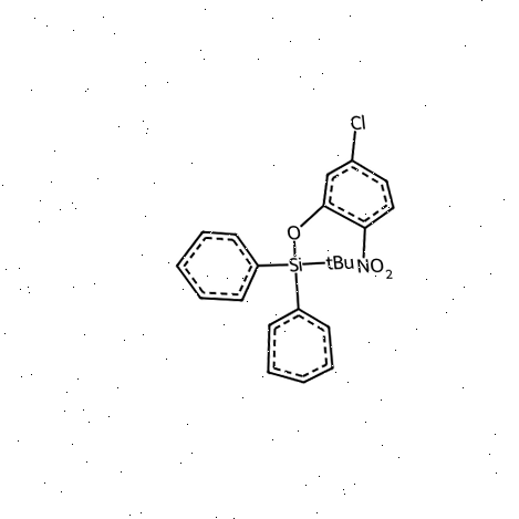 CC(C)(C)[Si](Oc1cc(Cl)ccc1[N+](=O)[O-])(c1ccccc1)c1ccccc1